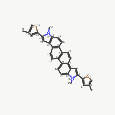 Cc1csc(-c2cc3c4ccc5c(ccc6c5ccc5c6cc(-c6cc(C)cs6)n5C)c4ccc3n2C)c1